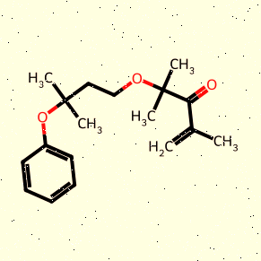 C=C(C)C(=O)C(C)(C)OCCC(C)(C)Oc1ccccc1